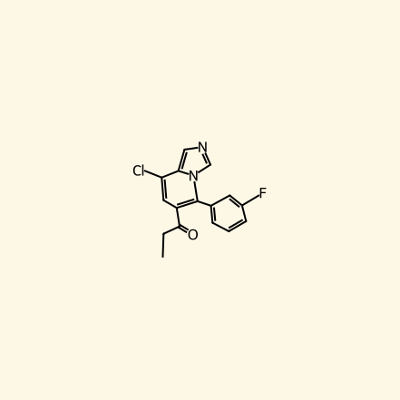 CCC(=O)c1cc(Cl)c2cncn2c1-c1cccc(F)c1